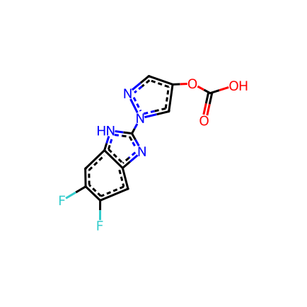 O=C(O)Oc1cnn(-c2nc3cc(F)c(F)cc3[nH]2)c1